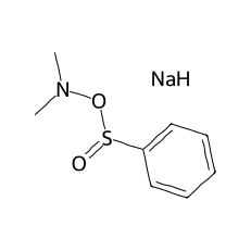 CN(C)OS(=O)c1ccccc1.[NaH]